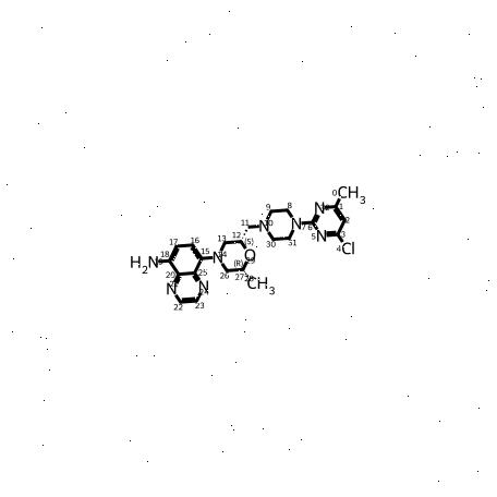 Cc1cc(Cl)nc(N2CCN(C[C@H]3CN(c4ccc(N)c5nccnc45)C[C@@H](C)O3)CC2)n1